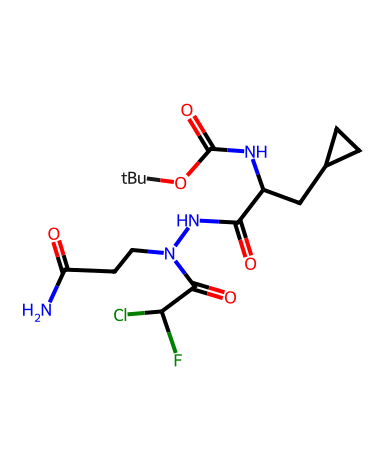 CC(C)(C)OC(=O)NC(CC1CC1)C(=O)NN(CCC(N)=O)C(=O)C(F)Cl